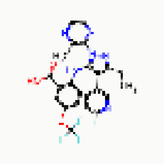 CCc1nn(-c2nccnc2C)c(Nc2ccc(OC(F)(F)F)cc2C(=O)O)c1-c1ccc(F)nc1